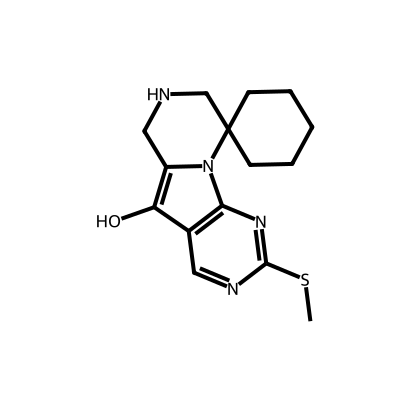 CSc1ncc2c(O)c3n(c2n1)C1(CCCCC1)CNC3